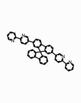 c1ccc(-c2ccc(-c3ccc4c(c3)C3(c5ccccc5-c5ccccc53)c3cc(-c5ccc(-c6ccccn6)nc5)ccc3-4)cn2)nc1